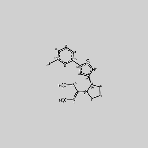 CN=C(SC)N1CCC[C@@H]1c1cc(-c2cccc(F)c2)on1